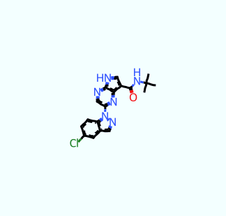 CC(C)(C)NC(=O)c1c[nH]c2ncc(-n3ncc4cc(Cl)ccc43)nc12